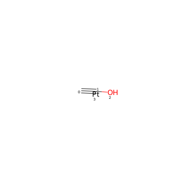 C#CO.[Pt]